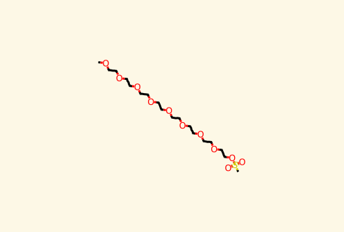 COCCOCCOCCOCCOCCOCCOCCOCCOS(C)(=O)=O